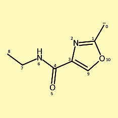 [CH]c1nc(C(=O)NCC)co1